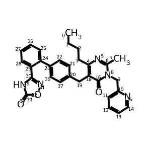 CCCCc1nc(C)n(Cc2ccccn2)c(=O)c1Cc1ccc(-c2ccccc2-c2noc(=O)[nH]2)cc1